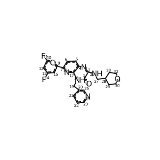 O=C/C(=N\c1ccc(-c2cc(F)cc(F)c2)nc1NCc1cccnc1)NCC1CCOCC1